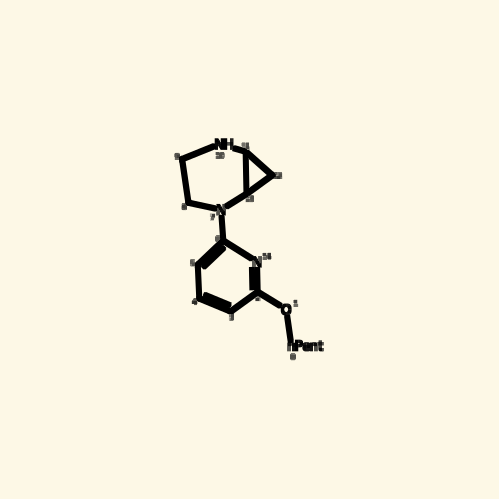 CCCCCOc1cccc(N2CCNC3CC32)n1